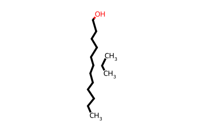 CCC.CCCCCCCCCCCCO